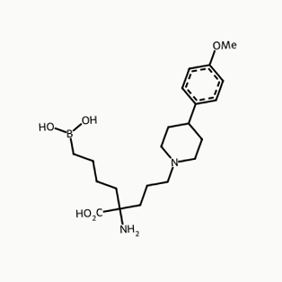 COc1ccc(C2CCN(CCCC(N)(CCCCB(O)O)C(=O)O)CC2)cc1